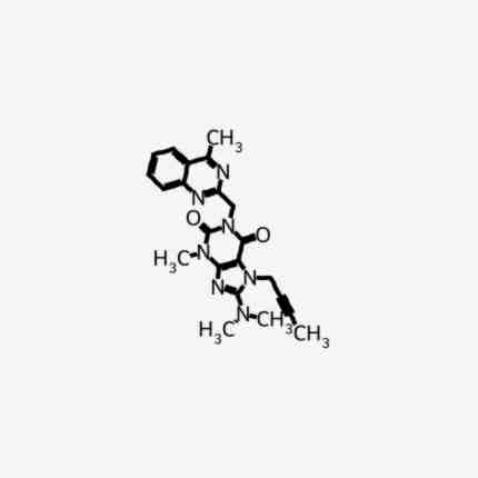 CC#CCn1c(N(C)C)nc2c1c(=O)n(Cc1nc(C)c3ccccc3n1)c(=O)n2C